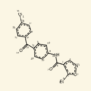 CCc1oncc1C(=O)Nc1ccc(C(=O)c2ccc(C(F)(F)F)cc2)cc1